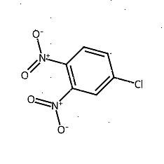 O=[N+]([O-])c1c[c]c(Cl)cc1[N+](=O)[O-]